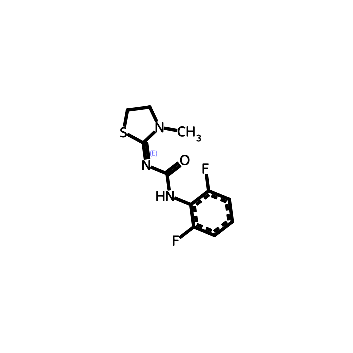 CN1CCS/C1=N/C(=O)Nc1c(F)cccc1F